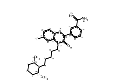 C[C@@H]1CCC[C@H](C)N1CCCCCn1c(=O)c(-c2cccc(C(=N)N)c2)nc2ccc(F)cc21